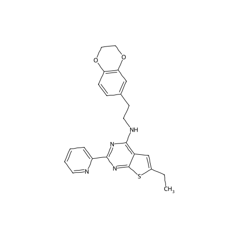 CCc1cc2c(NCCc3ccc4c(c3)OCCO4)nc(-c3ccccn3)nc2s1